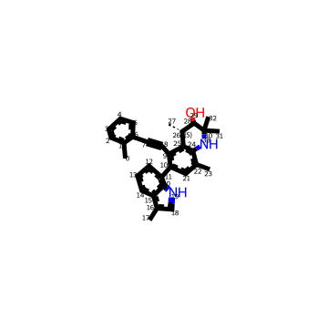 Cc1ccccc1C#Cc1c(-c2cccc3c(C)c[nH]c23)cc(C)c2c1[C@H](C)C(O)C(C)(C)N2